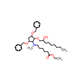 CCCCCCCC(O)COC1C(OCc2ccccc2)CC(OCc2ccccc2)C1N(C)CCCCCC(=O)OCC